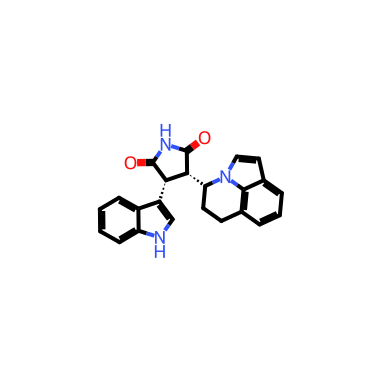 O=C1NC(=O)[C@@H](c2c[nH]c3ccccc23)[C@H]1C1CCc2cccc3ccn1c23